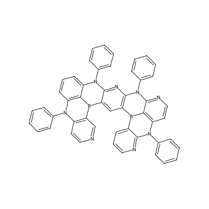 c1ccc(N2c3ccncc3B3c4cc5c(nc4N(c4ccccc4)c4cccc2c43)N(c2ccccc2)c2nccc3c2B5c2cccnc2N3c2ccccc2)cc1